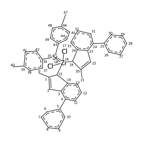 CC1=Cc2c(-c3ccccc3)cccc2[CH]1[Zr]([Cl])([Cl])([CH]1C(C)=Cc2c(-c3ccccc3)cccc21)=[Si](c1ccc(C)cc1)c1ccc(C)cc1